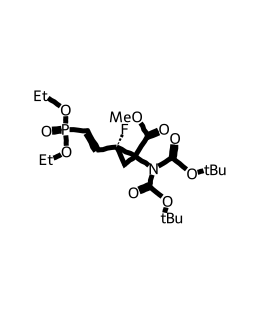 CCOP(=O)(/C=C/[C@]1(F)CC1(C(=O)OC)N(C(=O)OC(C)(C)C)C(=O)OC(C)(C)C)OCC